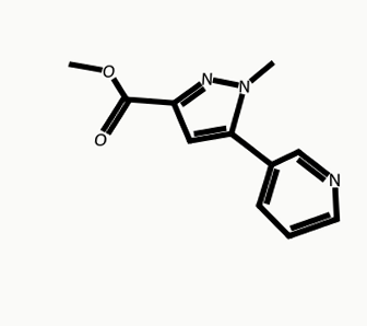 COC(=O)c1cc(-c2cccnc2)n(C)n1